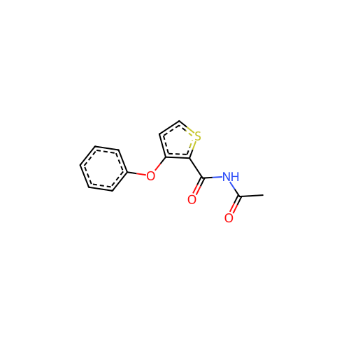 CC(=O)NC(=O)c1sccc1Oc1ccccc1